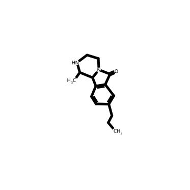 CCCc1ccc2c(c1)C(=O)N1CCNC(C)C21